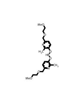 COCCOCc1ccc(OBOc2ccc(COCCOC)nc2C)c(C)n1